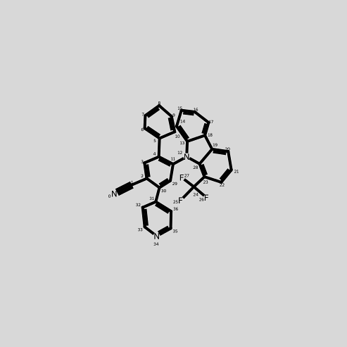 N#Cc1cc(-c2ccccc2)c(-n2c3ccccc3c3cccc(C(F)(F)F)c32)cc1-c1ccncc1